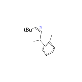 Cc1ccccc1C(C)/C=C\C(C)(C)C